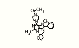 CC(=O)N1CCN(c2nc(C)nc3c2nc(-c2ccccc2Cl)n3CC2CCOC2)CC1